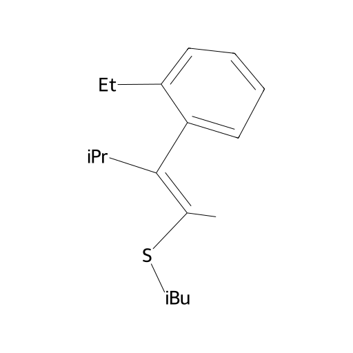 CCc1ccccc1/C(=C(\C)SC(C)CC)C(C)C